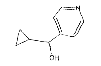 OC(c1ccncc1)C1CC1